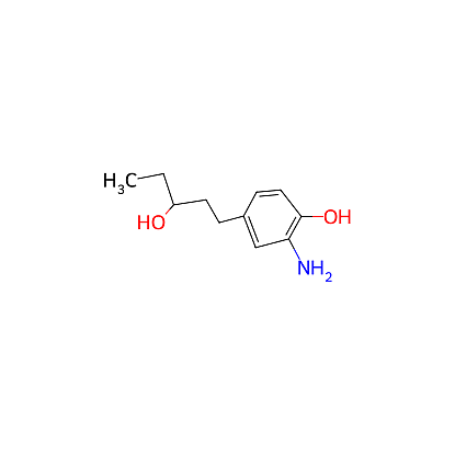 CCC(O)CCc1ccc(O)c(N)c1